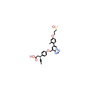 CC#C[C@@H](CC(=O)O)c1ccc(OCc2cc(-c3ccc(OCCC[S+](C)[O-])cc3C)cn3ncnc23)cc1